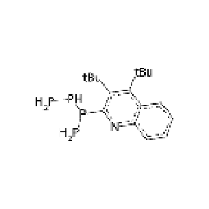 CC(C)(C)c1c(P(P)PP)nc2ccccc2c1C(C)(C)C